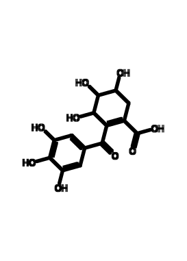 O=C(O)C1=C(C(=O)c2cc(O)c(O)c(O)c2)C(O)C(O)C(O)C1